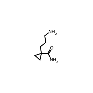 NCCCC1(C(N)=O)CC1